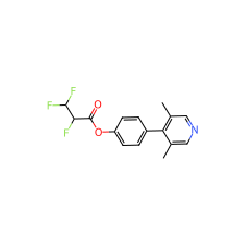 Cc1cncc(C)c1-c1ccc(OC(=O)C(F)C(F)F)cc1